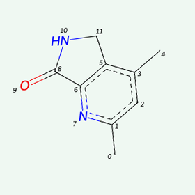 Cc1cc(C)c2c(n1)C(=O)NC2